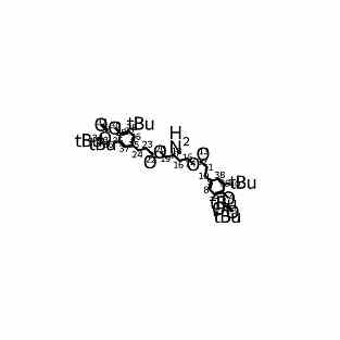 CC(C)(C)OC(=O)Oc1c(C(C)(C)C)cc(CCC(=O)OCCC(N)COC(=O)CCc2cc(C(C)(C)C)c(OC(=O)OC(C)(C)C)c(C(C)(C)C)c2)cc1C(C)(C)C